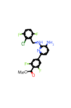 COC(=O)c1c(F)cc(-c2ccc(N)c(NCc3c(F)ccc(F)c3Cl)n2)cc1F